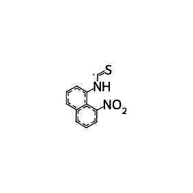 O=[N+]([O-])c1cccc2cccc(N[C]=S)c12